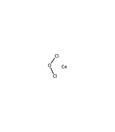 ClOCl.[Ce]